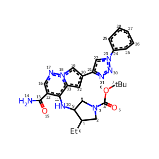 CCC1CN(C(=O)OC(C)(C)C)CC1Nc1c(C(N)=O)cnn2cc(-c3cn(-c4ccccc4)nn3)cc12